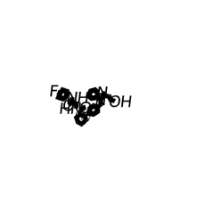 O=C(CNC(=O)[C@@H]1CCCC[C@H]1c1ccc(Cn2c(CCO)nc3ccccc32)cc1)Nc1ccc(F)cc1